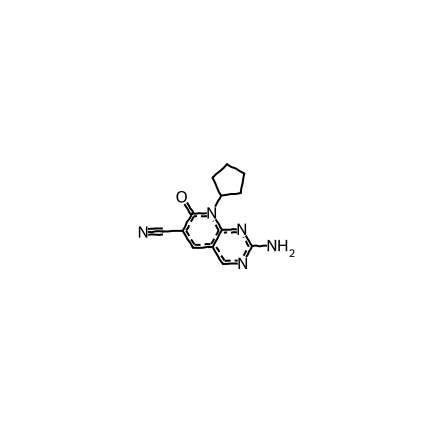 N#Cc1cc2cnc(N)nc2n(C2CCCC2)c1=O